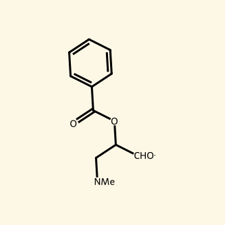 CNCC([C]=O)OC(=O)c1ccccc1